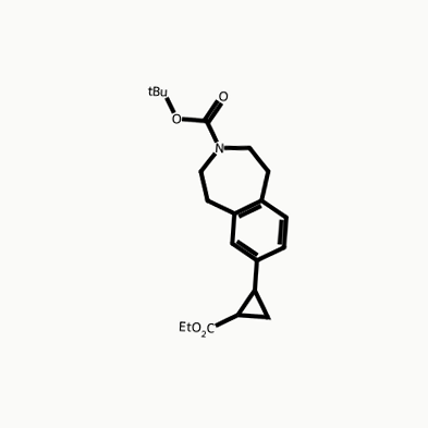 CCOC(=O)C1CC1c1ccc2c(c1)CCN(C(=O)OC(C)(C)C)CC2